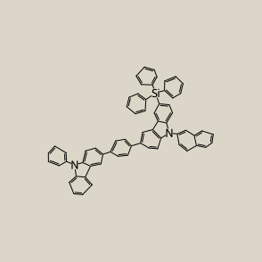 c1ccc(-n2c3ccccc3c3cc(-c4ccc(-c5ccc6c(c5)c5cc([Si](c7ccccc7)(c7ccccc7)c7ccccc7)ccc5n6-c5ccc6ccccc6c5)cc4)ccc32)cc1